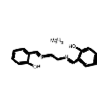 Oc1ccccc1/C=N/CC/N=C/c1ccccc1O.[MgH2]